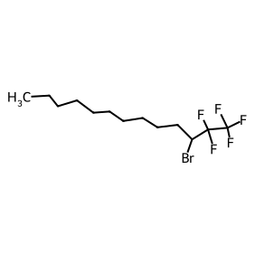 CCCCCCCCCCC(Br)C(F)(F)C(F)(F)F